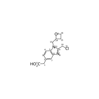 O=C(O)Cc1ccc2c(c1)nc(CCl)n2CC1CCO1